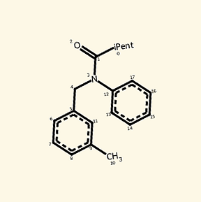 CCCC(C)C(=O)N(Cc1cccc(C)c1)c1ccccc1